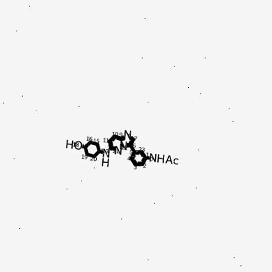 CC(=O)Nc1cccc(-c2cnc3ccc(NC4CCC(O)CC4)nn23)c1